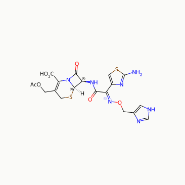 CC(=O)OCC1=C(C(=O)O)N2C(=O)[C@@H](NC(=O)/C(=N/OCc3c[nH]cn3)c3csc(N)n3)[C@H]2SC1